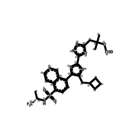 C[C@H](NS(=O)(=O)c1ccc(-c2sc(-c3nnc(CC(C)(C)OC=O)o3)nc2CC2CCC2)c2cnccc12)C(F)(F)F